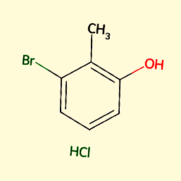 Cc1c(O)cccc1Br.Cl